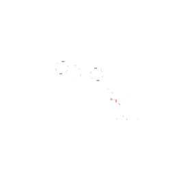 CC(C)(C)C1(COC(=O)N[C@H]2CCc3c(C(=O)Nc4ccc(F)c(Cl)c4)ccc(F)c32)CC(F)(F)CN1C(=O)O